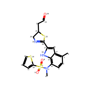 Cc1ccc(N(C)S(=O)(=O)c2cccs2)c2[nH]c(C3=NCC(CC=O)S3)cc12